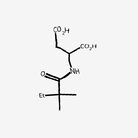 CCC(C)(C)C(=O)NC(CC(=O)O)C(=O)O